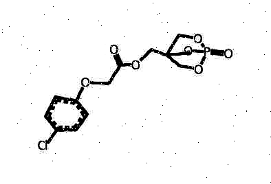 O=C(COc1ccc(Cl)cc1)OCC12COP(=O)(OC1)OC2